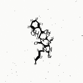 C/C=C/Cn1c(Br)nc2c1c(=O)n(CC(=O)c1ccccc1O)c(=O)n2C